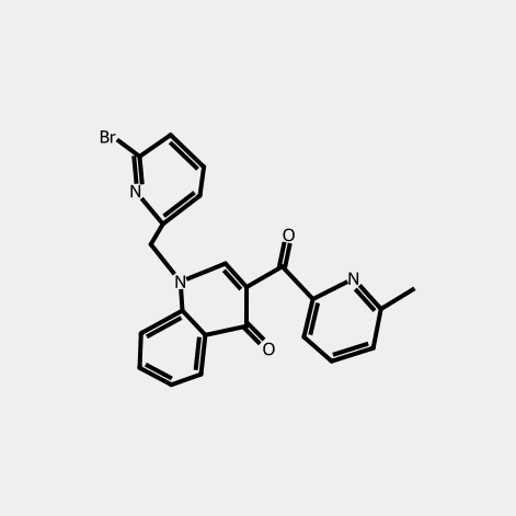 Cc1cccc(C(=O)c2cn(Cc3cccc(Br)n3)c3ccccc3c2=O)n1